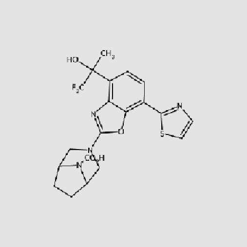 CC(O)(c1ccc(-c2nccs2)c2oc(N3CC4CCC(C3)N4C(=O)O)nc12)C(F)(F)F